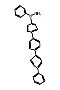 NN(c1ccccc1)c1ccc(-c2ccc(-c3ccc(-c4ccccc4)cc3)cc2)cc1